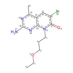 CCOCCCn1c(=O)c(Br)cc2c(C)nc(N)nc21